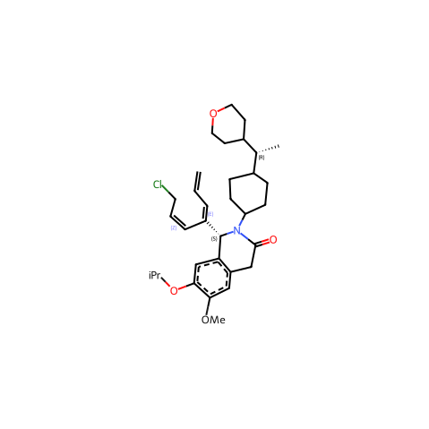 C=C/C=C(\C=C/CCl)[C@H]1c2cc(OC(C)C)c(OC)cc2CC(=O)N1C1CCC([C@@H](C)C2CCOCC2)CC1